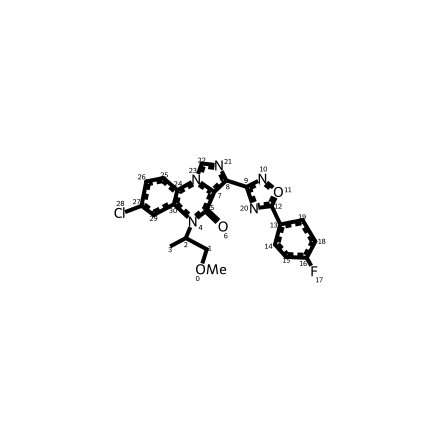 COCC(C)n1c(=O)c2c(-c3noc(-c4ccc(F)cc4)n3)ncn2c2ccc(Cl)cc21